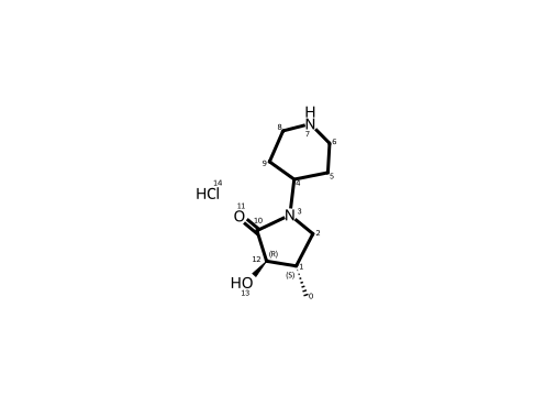 C[C@H]1CN(C2CCNCC2)C(=O)[C@@H]1O.Cl